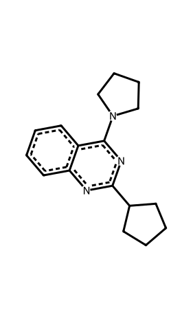 c1ccc2c(N3CCCC3)nc(C3CCCC3)nc2c1